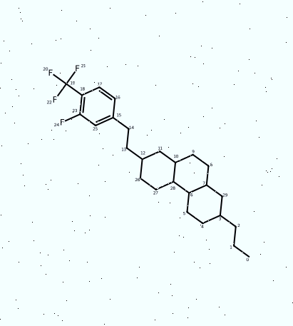 CCCC1CCC2C(CCC3CC(CCc4ccc(C(F)(F)F)c(F)c4)CCC32)C1